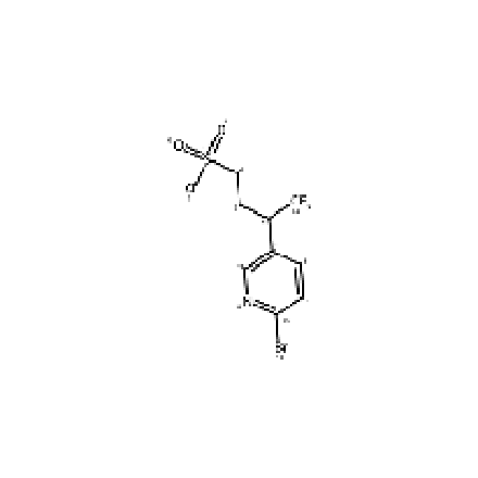 O=S(=O)(Cl)CCC(c1ccc(Br)nc1)C(F)(F)F